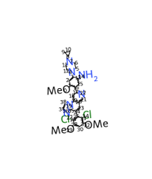 COc1cc(N2CCN(C3CC3)CC2)c(N)cc1-c1cc2c(cn1)cc(-c1c(Cl)c(OC)cc(OC)c1Cl)c1nccn12